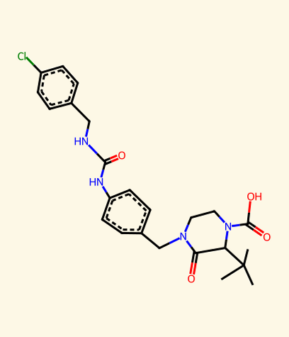 CC(C)(C)C1C(=O)N(Cc2ccc(NC(=O)NCc3ccc(Cl)cc3)cc2)CCN1C(=O)O